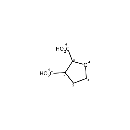 O=C(O)C1CCOC1C(=O)O